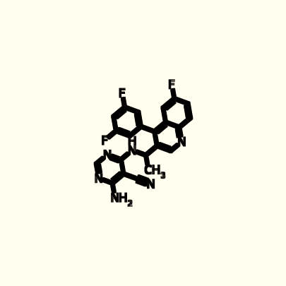 CC(Nc1ncnc(N)c1C#N)c1cnc2ccc(F)cc2c1-c1cc(F)cc(F)c1